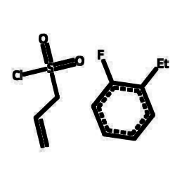 C=CCS(=O)(=O)Cl.CCc1ccccc1F